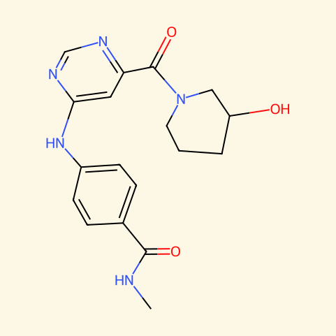 CNC(=O)c1ccc(Nc2cc(C(=O)N3CCCC(O)C3)ncn2)cc1